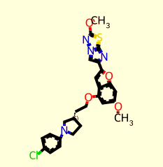 COc1cc(OCC[C@@H]2CCN(c3ccc(Cl)cc3)C2)c2cc(-c3cn4nc(OC)sc4n3)oc2c1